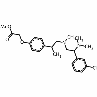 COC(=O)COc1ccc(C(C)CN(C)CC(c2cccc(Cl)c2)N(C)C)cc1